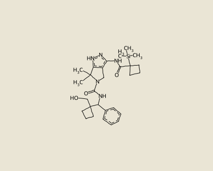 CC1(C)c2[nH]nc(NC(=O)C3([Si](C)(C)C)CCC3)c2CN1C(=O)NC(c1ccccc1)C1(CO)CCC1